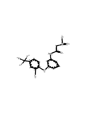 O=C(C[N+](=O)[O-])Nc1cccc(Oc2ccc(C(F)(F)F)cc2Cl)c1